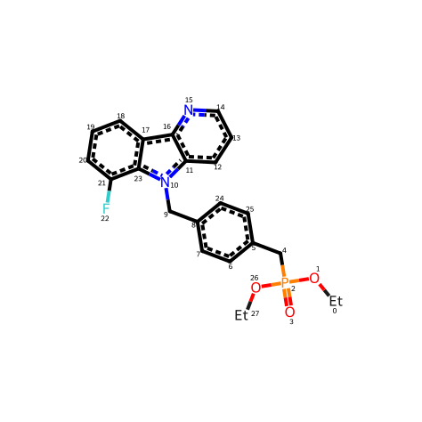 CCOP(=O)(Cc1ccc(Cn2c3cccnc3c3cccc(F)c32)cc1)OCC